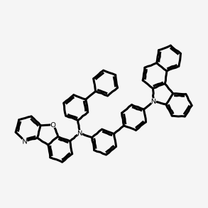 c1ccc(-c2cccc(N(c3cccc(-c4ccc(-n5c6ccccc6c6c7ccccc7ccc65)cc4)c3)c3cccc4c3oc3cccnc34)c2)cc1